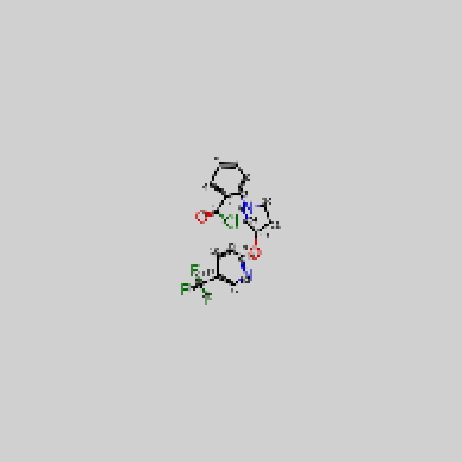 O=C(Cl)c1ccccc1N1CC[C@@H](Oc2ccc(C(F)(F)F)cn2)C1